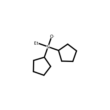 CC[Si]([O])(C1CCCC1)C1CCCC1